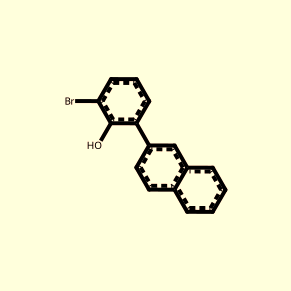 Oc1c(Br)cccc1-c1ccc2ccccc2c1